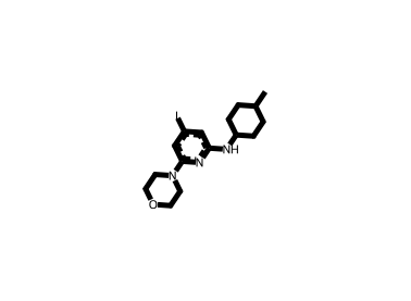 CC1CCC(Nc2cc(I)cc(N3CCOCC3)n2)CC1